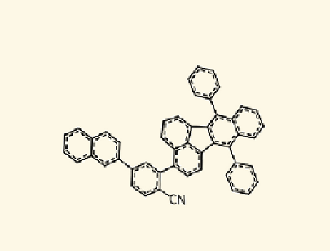 N#Cc1ccc(-c2ccc3ccccc3c2)cc1-c1ccc2c3c(cccc13)-c1c-2c(-c2ccccc2)c2ccccc2c1-c1ccccc1